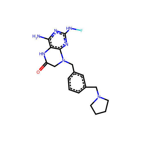 Nc1nc(NF)nc2c1NC(=O)CN2Cc1cccc(CN2CCCC2)c1